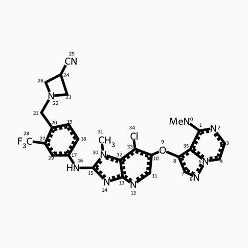 CNc1nccn2ncc(Oc3cnc4nc(Nc5ccc(CN6CC(C#N)C6)c(C(F)(F)F)c5)n(C)c4c3Cl)c12